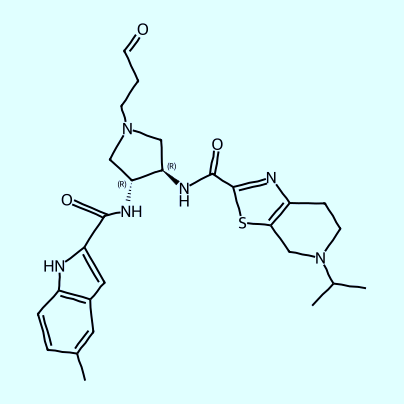 Cc1ccc2[nH]c(C(=O)N[C@@H]3CN(CCC=O)C[C@H]3NC(=O)c3nc4c(s3)CN(C(C)C)CC4)cc2c1